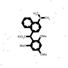 CCOC(=O)C(c1c(OC)cc(OC)cc1OC)c1ccc(N(C)C)c2ccccc12